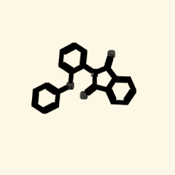 O=C1c2ccccc2C(=O)N1c1ccccc1Oc1ccccc1